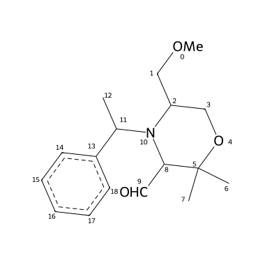 COCC1COC(C)(C)C(C=O)N1C(C)c1ccccc1